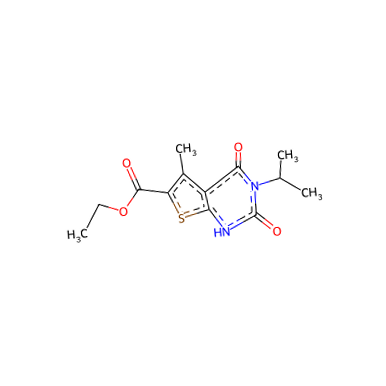 CCOC(=O)c1sc2[nH]c(=O)n(C(C)C)c(=O)c2c1C